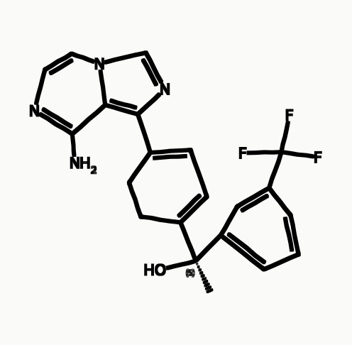 C[C@](O)(C1=CC=C(c2ncn3ccnc(N)c23)CC1)c1cccc(C(F)(F)F)c1